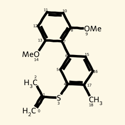 C=C(C)Sc1cc(-c2c(OC)cccc2OC)ccc1C